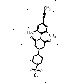 CC#Cc1cc(C)c(C2C(=O)CC(C3CCN(S(=O)(=O)CC)CC3)CC2=O)c(C)c1